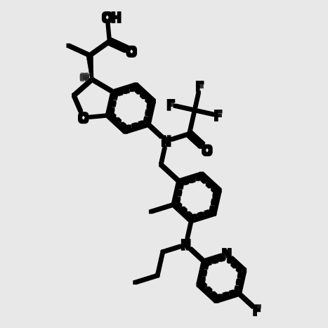 CCCN(c1ccc(F)cn1)c1cccc(CN(C(=O)C(F)(F)F)c2ccc3c(c2)OC[C@H]3C(C)C(=O)O)c1C